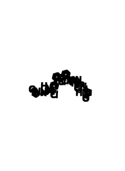 O=C1CC[C@H](CNCc2nc3cc(-c4cccc(-c5cccc(-c6ccn7c(Cl)c(CNC[C@@H]8CCC(=O)N8)nc7c6)c5Cl)c4Cl)ccn3c2Cl)N1